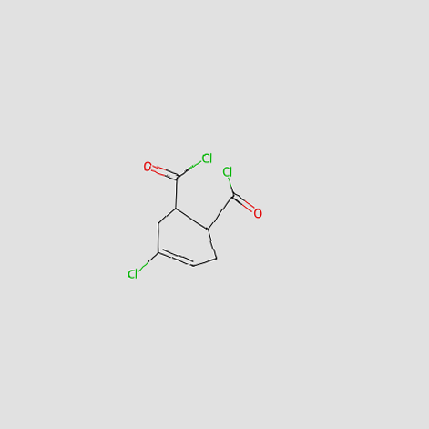 O=C(Cl)C1CC=C(Cl)CC1C(=O)Cl